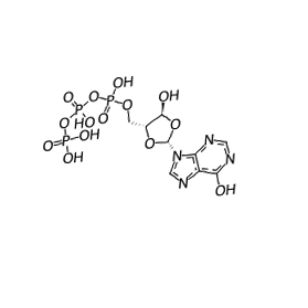 O=P(O)(O)OP(=O)(O)OP(=O)(O)OC[C@H]1O[C@@H](n2cnc3c(O)ncnc32)O[C@@H]1O